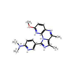 COc1ccc2nc(C)c3c(C)nc(-c4ccc(N(C)C)nc4)n3c2n1